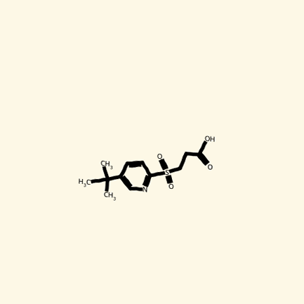 CC(C)(C)c1ccc(S(=O)(=O)CCC(=O)O)nc1